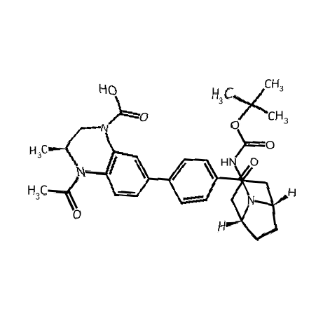 CC(=O)N1c2ccc(-c3ccc(C(=O)N4[C@@H]5CC[C@H]4CC(NC(=O)OC(C)(C)C)C5)cc3)cc2N(C(=O)O)C[C@@H]1C